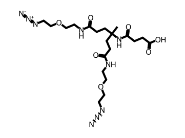 CC(CCC(=O)NCCOCCN=[N+]=[N-])(CCC(=O)NCCOCCN=[N+]=[N-])NC(=O)CCC(=O)O